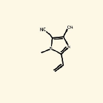 C=Cc1nc(C#N)c(C#N)n1C